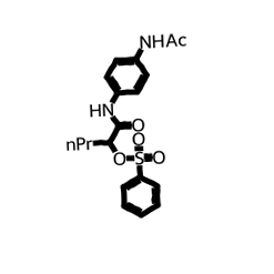 CCCC(OS(=O)(=O)c1ccccc1)C(=O)Nc1ccc(NC(C)=O)cc1